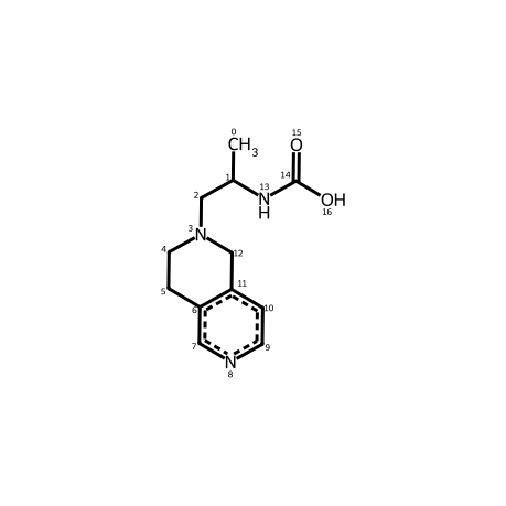 CC(CN1CCc2cnccc2C1)NC(=O)O